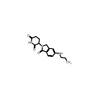 CCCNc1ccc2c(c1)CN(C1CCC(=O)NC1=O)C2=O